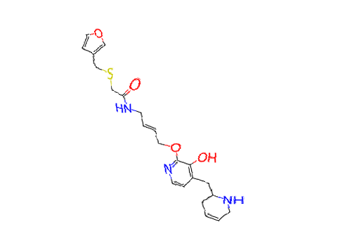 O=C(CSCc1ccoc1)NCC=CCOc1nccc(CC2CC=CCN2)c1O